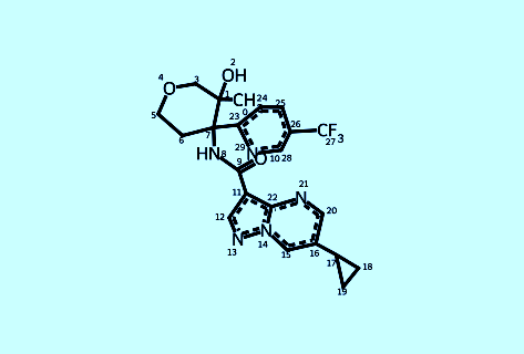 CC1(O)COCCC1(NC(=O)c1cnn2cc(C3CC3)cnc12)c1ccc(C(F)(F)F)cn1